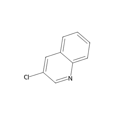 Clc1cnc2ccccc2c1